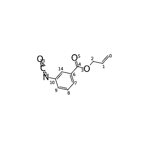 C=CCOC(=O)c1cccc(N=C=O)c1